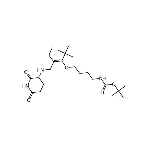 CC/C(CN[C@@H]1CCC(=O)NC1=O)=C(/OCCCCNC(=O)OC(C)(C)C)C(C)(C)C